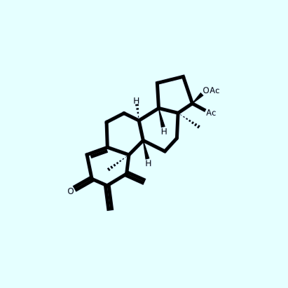 C=C1C(=C)[C@@]2(C)C(=CC1=O)CC[C@@H]1[C@@H]2CC[C@@]2(C)[C@H]1CC[C@]2(OC(C)=O)C(C)=O